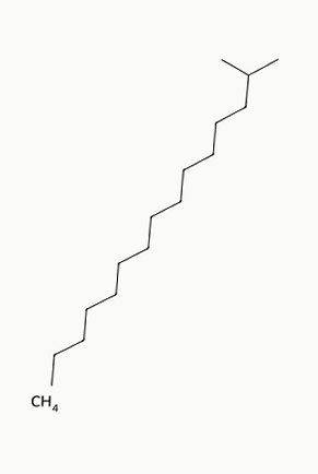 C.CCCCCCCCCCCCCC(C)C